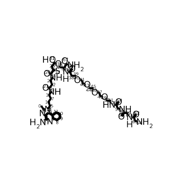 Cc1nc2c(N)nc3ccccc3c2n1CCCCNC(=O)CCNC(=O)C(CC(=O)O)SCC(NC(=O)CCOCCOCCOCCOCCNC(=O)CNC(=O)CNC(=O)CN)C(N)=O